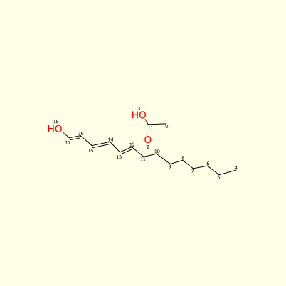 CC(=O)O.CCCCCCCCC=CC=CC=CO